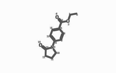 CCOC(=O)c1ccc(N2CCCC2=O)cc1